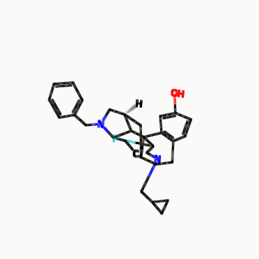 Oc1ccc2c(c1)C13C(F)CN(CC4CC4)C(C2)C12CCC1C3[C@@H](CN1Cc1ccccc1)C2